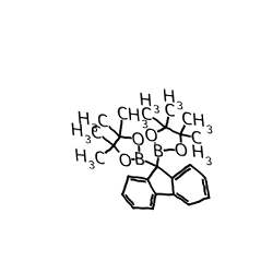 CC1(C)OB(C2(B3OC(C)(C)C(C)(C)O3)c3ccccc3-c3ccccc32)OC1(C)C